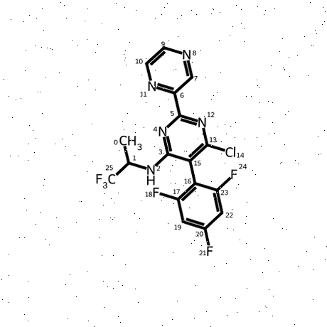 CC(Nc1nc(-c2cnccn2)nc(Cl)c1-c1c(F)cc(F)cc1F)C(F)(F)F